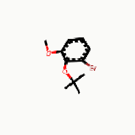 COc1cccc(Br)c1OC(C)(C)C